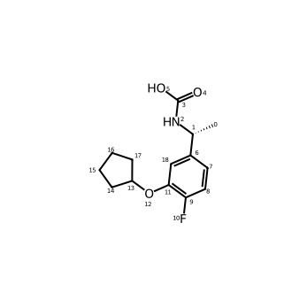 C[C@@H](NC(=O)O)c1ccc(F)c(OC2CCCC2)c1